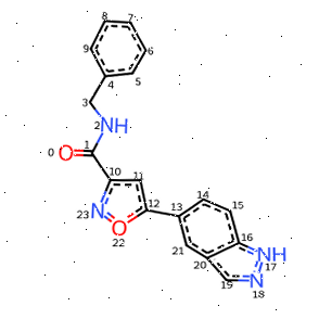 O=C(NCc1ccccc1)c1cc(-c2ccc3[nH]ncc3c2)on1